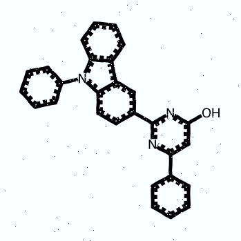 Oc1cc(-c2ccccc2)nc(-c2ccc3c(c2)c2ccccc2n3-c2ccccc2)n1